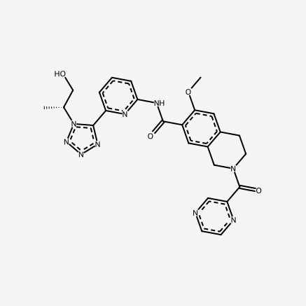 COc1cc2c(cc1C(=O)Nc1cccc(-c3nnnn3[C@H](C)CO)n1)CN(C(=O)c1cnccn1)CC2